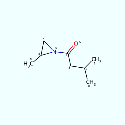 CC(C)CC(=O)N1CC1C